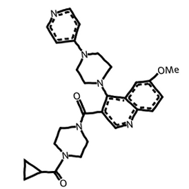 COc1ccc2ncc(C(=O)N3CCN(C(=O)C4CC4)CC3)c(N3CCN(c4ccncc4)CC3)c2c1